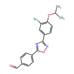 CC(C)Oc1ccc(-c2noc(-c3ccc(C=O)cc3)n2)cc1Br